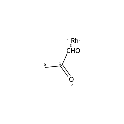 CC(=O)C=O.[Rh]